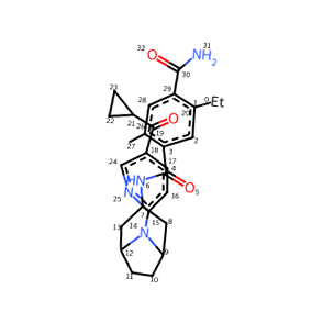 CCc1cc(C(=O)NC2CC3CCC(C2)N3c2ccc(C(=O)C3CC3)cn2)c(C)cc1C(N)=O